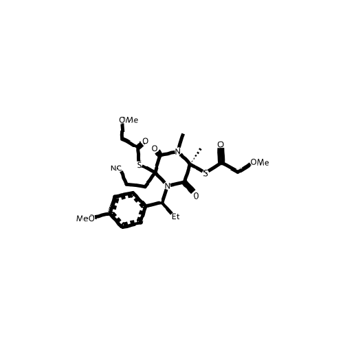 CCC(c1ccc(OC)cc1)N1C(=O)[C@](C)(SC(=O)COC)N(C)C(=O)C1(CCC#N)SC(=O)COC